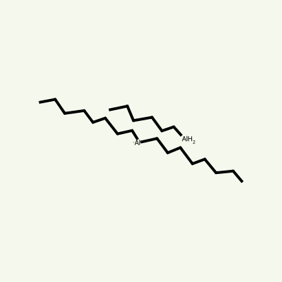 CCCCCCC[CH2][Al][CH2]CCCCCCC.CCCCC[CH2][AlH2]